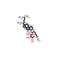 CCCCCC(OC1CC[C@@]2(C)C(=CC[C@H]3[C@@H]4CC[C@H]([C@H](C)CCCC(C)C)[C@@]4(C)CC[C@@H]32)C1)C(N)[C@H]1O[C@@H](S)[C@@H](O)[C@@H](O)[C@@H]1O